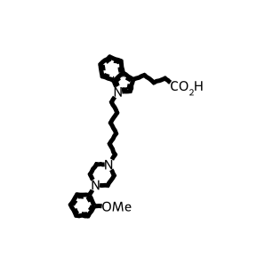 COc1ccccc1N1CCN(CCCCCCn2cc(CCCC(=O)O)c3ccccc32)CC1